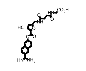 Cl.N=C(N)c1ccc2cc(OC(=O)c3ccc(CNC(=O)CCC(=O)NCC(=O)O)o3)ccc2c1